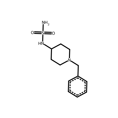 NS(=O)(=O)NC1CCN(Cc2ccccc2)CC1